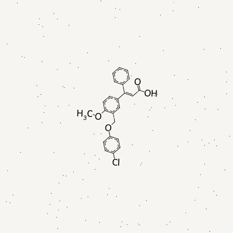 COc1ccc(/C(=C/C(=O)O)c2ccccc2)cc1COc1ccc(Cl)cc1